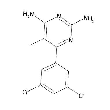 Cc1c(N)nc(N)nc1-c1cc(Cl)cc(Cl)c1